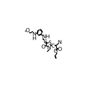 C=CCOC(=O)C(=C=c1sc(=C=CNc2cccc(NCCOC)c2)c(=O)n1CC)C#N